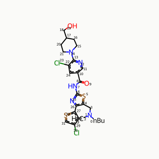 CCCCN(C)Cc1sc(NC(=O)c2cnc(N3CCC(CO)CC3)c(Cl)c2)nc1-c1cc(Cl)cs1